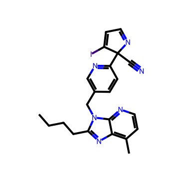 CCCCc1nc2c(C)ccnc2n1Cc1ccc(C2(C#N)N=CC=C2I)nc1